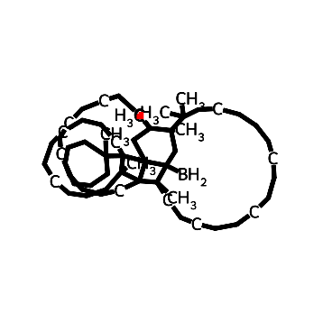 BC12CC3(C)C(C)(C)CCCCCCCCCCCCCCC1(C)C14CCCCCCCCCCCC3(C)CC21C1(C2(C)CCCCCC2)CCCCCCCCCCC14C